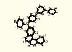 c1ccc(-c2cccc(-c3ccc(N(c4ccccc4)c4ccc5c(ccc6ccc7ccccc7c65)c4)cc3)c2)cc1